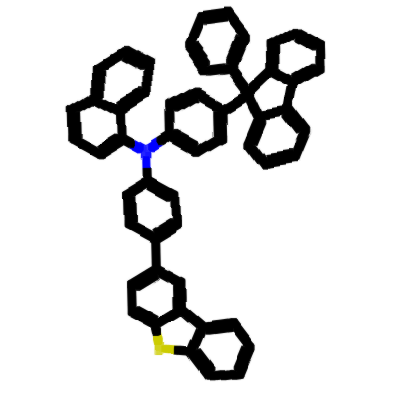 c1ccc(C2(c3ccc(N(c4ccc(-c5ccc6sc7ccccc7c6c5)cc4)c4cccc5ccccc45)cc3)c3ccccc3-c3ccccc32)cc1